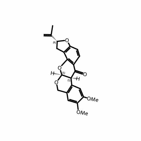 C=C(C)[C@H]1Cc2c(ccc3c2O[C@@H]2OCc4cc(OC)c(OC)cc4[C@@H]2C3=O)O1